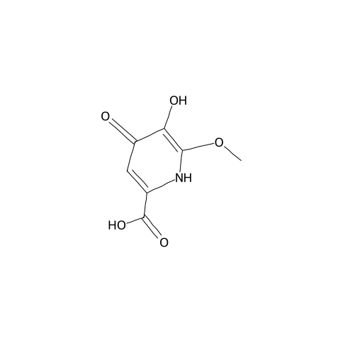 COc1[nH]c(C(=O)O)cc(=O)c1O